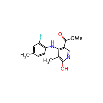 COC(=O)c1cnc(O)c(C)c1Nc1ccc(C)cc1F